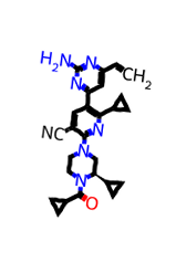 C=Cc1cc(-c2cc(C#N)c(N3CCN(C(=O)C4CC4)[C@H](C4CC4)C3)nc2C2CC2)nc(N)n1